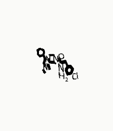 CCN(CC)CC(C1CCCCCC1)N1CCN(C(=O)C(N)Cc2ccc(Cl)cc2)CC1